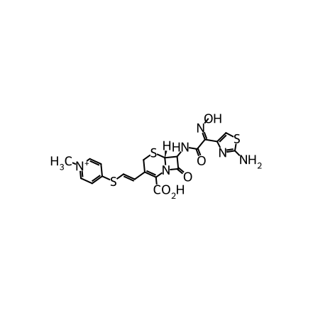 C[n+]1ccc(S/C=C/C2=C(C(=O)O)N3C(=O)C(NC(=O)C(=NO)c4csc(N)n4)[C@H]3SC2)cc1